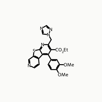 CCOC(=O)c1c(Cn2cncn2)nc2sc3cnccc3c2c1-c1ccc(OC)c(OC)c1